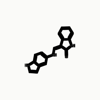 O=C1Nc2ccccc2C1=CNc1ccc2[nH]ccc2c1